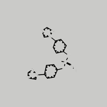 CN=P(C)(Oc1ccc(-n2cncn2)cc1)Oc1ccc(-n2cncn2)cc1